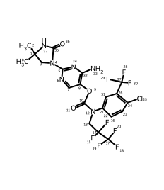 CC1(C)CN(c2ncc(OC(=O)N(CC(F)(F)C(F)(F)F)c3ccc(Cl)c(C(F)(F)F)c3)c(N)n2)C(=O)N1